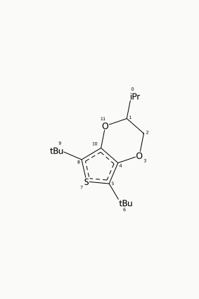 CC(C)C1COc2c(C(C)(C)C)sc(C(C)(C)C)c2O1